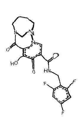 O=C(NCc1c(F)cc(F)cc1F)c1cn2c(c(O)c1=O)C(=O)N1CCCCN2C1